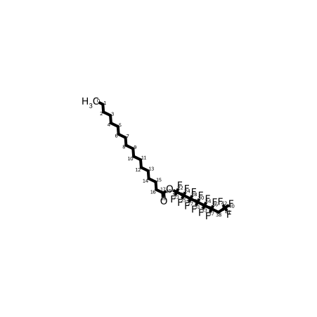 CCCCCCCCCCCCCCCCCC(=O)OC(F)(F)C(F)(F)C(F)(F)C(F)(F)C(F)(F)C(F)(F)CC(F)(F)F